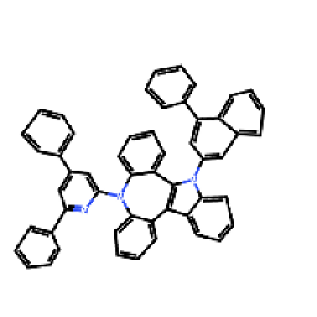 c1ccc(-c2cc(-c3ccccc3)nc(N3c4ccccc4-c4c(n(-c5cc(-c6ccccc6)c6ccccc6c5)c5ccccc45)-c4ccccc43)c2)cc1